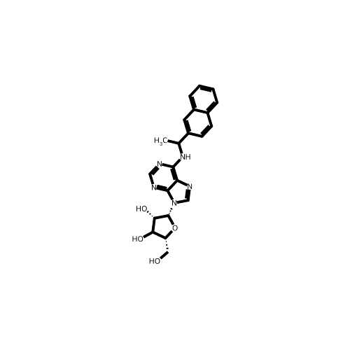 CC(Nc1ncnc2c1ncn2[C@@H]1O[C@H](CO)C(O)[C@@H]1O)c1ccc2ccccc2c1